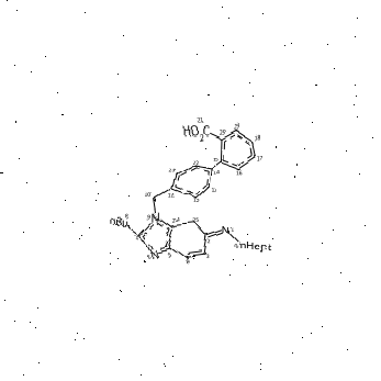 CCCCCCCN=C1C=Cc2nc(CCCC)n(Cc3ccc(-c4ccccc4C(=O)O)cc3)c2C1